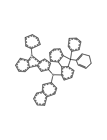 C1=CC(C2(c3ccccc3)c3ccccc3-c3c(N(c4ccc5ccccc5c4)c4ccc5c(c4)c4ccccc4n5-c4ccccc4)cccc32)=CCC1